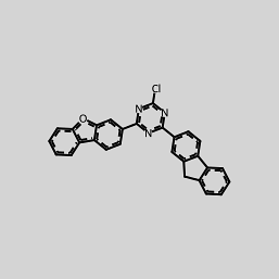 Clc1nc(-c2ccc3c(c2)Cc2ccccc2-3)nc(-c2ccc3c(c2)oc2ccccc23)n1